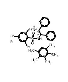 CC(C)c1cc(C(C)C)c(S(=O)(=O)N[C@H](c2ccccc2)[C@H](N)c2ccccc2)c(C(C)C)c1.Cc1cc(C)c(C)c(C)c1C.[Ru]